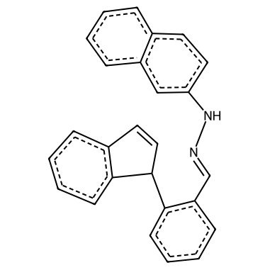 C1=CC(c2ccccc2/C=N/Nc2ccc3ccccc3c2)c2ccccc21